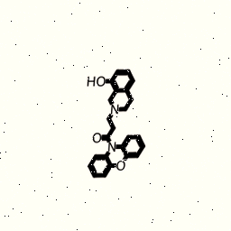 O=C(CCN1CCc2cccc(O)c2C1)N1c2ccccc2Oc2ccccc21